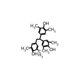 Cc1cc(CC(c2cc(C)c(O)c(C)c2)c2cc(C)c(O)c(C)c2)cc(C)c1O